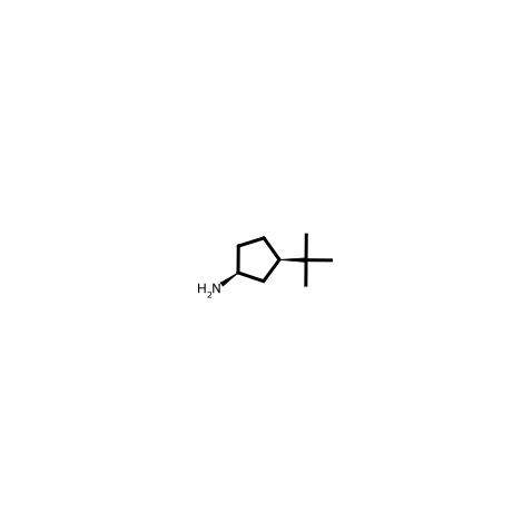 CC(C)(C)[C@@H]1CC[C@H](N)C1